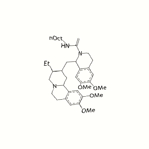 C=C(NCCCCCCCC)N1CCc2cc(OC)c(OC)cc2C1CC1CC2c3cc(OC)c(OC)cc3CCN2CC1CC